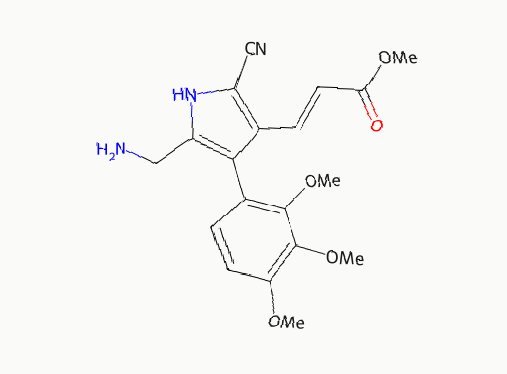 COC(=O)C=Cc1c(C#N)[nH]c(CN)c1-c1ccc(OC)c(OC)c1OC